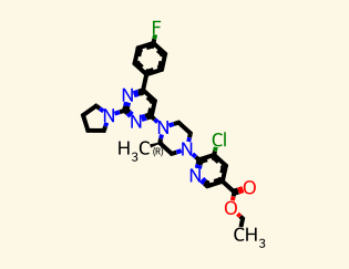 CCOC(=O)c1cnc(N2CCN(c3cc(-c4ccc(F)cc4)nc(N4CCCC4)n3)[C@H](C)C2)c(Cl)c1